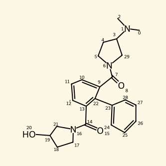 CN(C)C1CCN(C(=O)c2cc[c]c(C(=O)N3CCC(O)C3)c2-c2ccccc2)C1